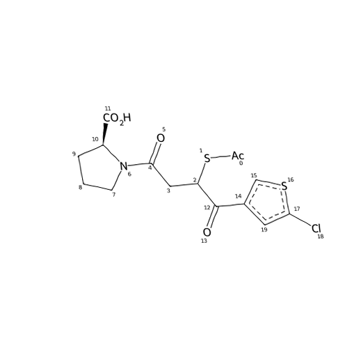 CC(=O)SC(CC(=O)N1CCC[C@H]1C(=O)O)C(=O)c1csc(Cl)c1